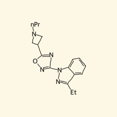 CCCN1CC(c2nc(-n3nc(CC)c4ccccc43)no2)C1